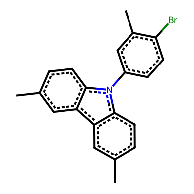 Cc1ccc2c(c1)c1cc(C)ccc1n2-c1ccc(Br)c(C)c1